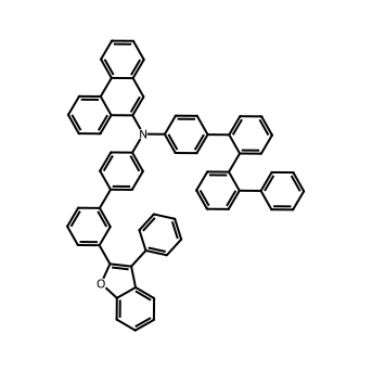 c1ccc(-c2ccccc2-c2ccccc2-c2ccc(N(c3ccc(-c4cccc(-c5oc6ccccc6c5-c5ccccc5)c4)cc3)c3cc4ccccc4c4ccccc34)cc2)cc1